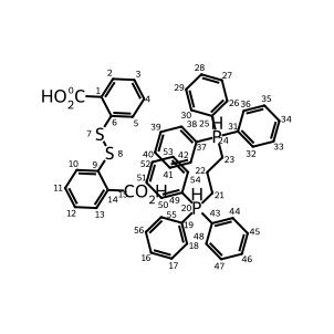 O=C(O)c1ccccc1SSc1ccccc1C(=O)O.c1ccc([PH](CCC[PH](c2ccccc2)(c2ccccc2)c2ccccc2)(c2ccccc2)c2ccccc2)cc1